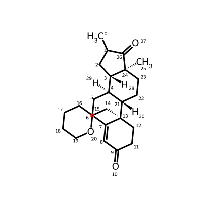 CC1C[C@H]2[C@@H]3CCC4=CC(=O)CC[C@]4(CC4CCCCO4)[C@H]3CC[C@]2(C)C1=O